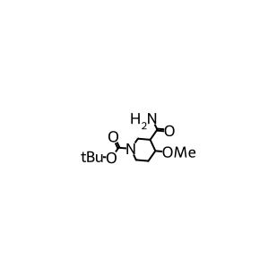 COC1CCN(C(=O)OC(C)(C)C)CC1C(N)=O